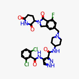 O=C1CCC(N2Cc3cc(CN4CCC(NC(=O)c5n[nH]cc5NC(=O)c5c(Cl)cccc5Cl)CC4)cc(F)c3C2=O)C(=O)N1